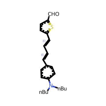 CCCCN(CCCC)c1ccc(/C=C/C=C/c2ccc(C=O)s2)cc1